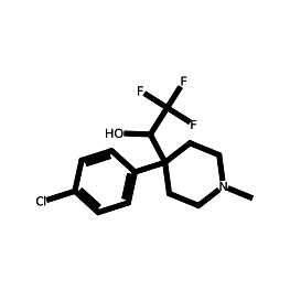 CN1CCC(c2ccc(Cl)cc2)(C(O)C(F)(F)F)CC1